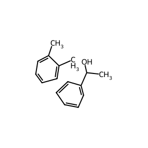 CC(O)c1ccccc1.Cc1ccccc1C